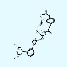 C[C@@H]1CN(c2cccc(-c3csc(NC(=O)CNC(=O)c4ccc5c(c4)C(C)(C#N)CNC5)n3)c2)C[C@H](C)O1